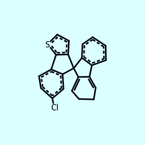 Clc1ccc2c(c1)C1(C3=CCCC=C3c3ccccc31)c1ccsc1-2